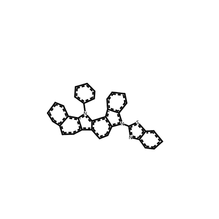 c1ccc(-n2c3c4ccccc4ccc3c3ccc4c(c5ccccc5n4-c4nc5ccccc5s4)c32)cc1